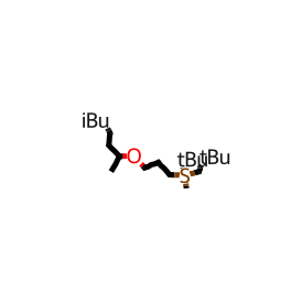 CCC(C)CCC(C)OCCCS(C)(CC(C)(C)C)C(C)(C)C